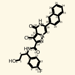 O=C(NC(CCO)c1ccc(F)cc1)c1nn2cc(-c3ccc4ccccc4c3)[nH]c(=O)c2c1Cl